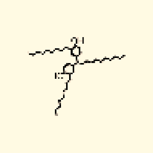 CCCCCCCCCCC(c1ccc(O)c(CCCCCCCCC)c1)c1ccc(O)c(CCCCCCCCC)c1